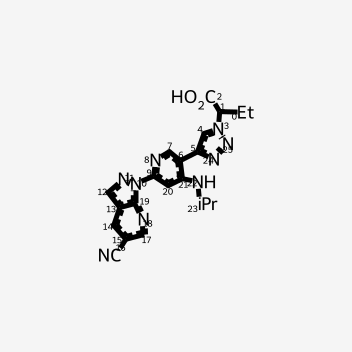 CCC(C(=O)O)n1cc(-c2cnc(-n3ncc4cc(C#N)cnc43)cc2NC(C)C)nn1